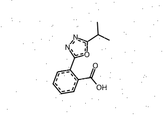 CC(C)c1nnc(-c2ccccc2C(=O)O)o1